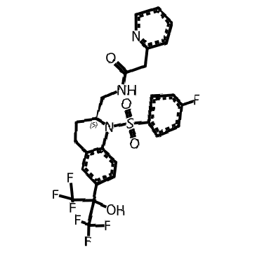 O=C(Cc1ccccn1)NC[C@@H]1CCc2cc(C(O)(C(F)(F)F)C(F)(F)F)ccc2N1S(=O)(=O)c1ccc(F)cc1